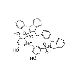 O=S(=O)(c1cc(O)cc(O)c1)N1Cc2ccccc2C1c1cccc(C[C@@H]2c3ccccc3[C@@H](c3ccccc3)N2S(=O)(=O)c2ccc(O)cc2O)c1